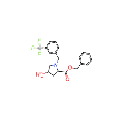 O=C(OCc1ccccc1)C1CC(O)CN1Cc1cccc(C(F)(F)F)c1